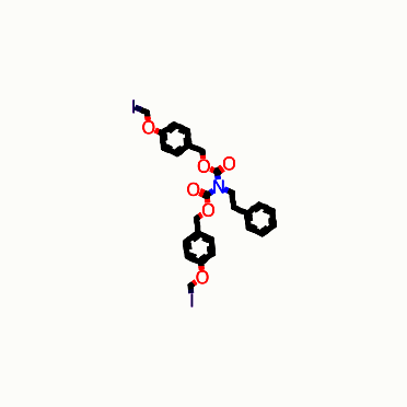 O=C(OCc1ccc(OCI)cc1)N(CCc1ccccc1)C(=O)OCc1ccc(OCI)cc1